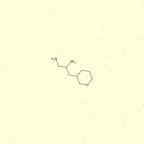 NCC(N)CC1CCCOC1